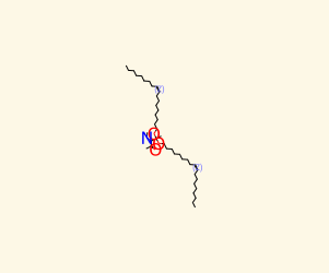 CCCCCCCC/C=C\CCCCCCCCOC(C)(OCCCCCCCC/C=C\CCCCCCCC)C(C(C)=O)N(C)C